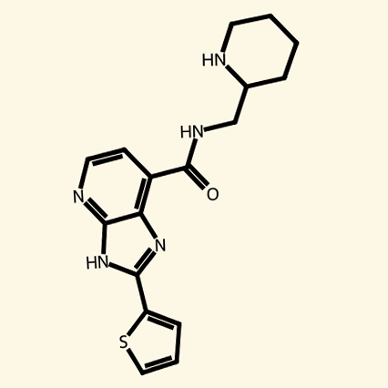 O=C(NCC1CCCCN1)c1ccnc2[nH]c(-c3cccs3)nc12